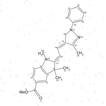 COC(=O)c1ccc2c(c1)C(C)(C)/C(=C/C=C1/CN(c3ccccc3)N=C1C)N2C